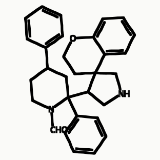 O=CN1CCC(c2ccccc2)CC1(c1ccccc1)C1CNCC12CCOc1ccccc12